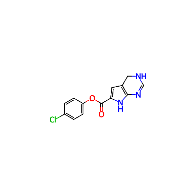 O=C(Oc1ccc(Cl)cc1)c1cc2c([nH]1)N=CNC2